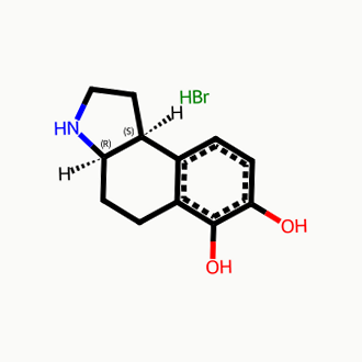 Br.Oc1ccc2c(c1O)CC[C@H]1NCC[C@@H]21